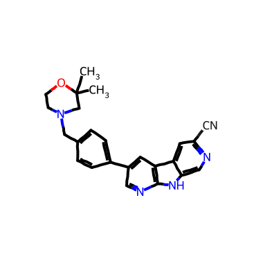 CC1(C)CN(Cc2ccc(-c3cnc4[nH]c5cnc(C#N)cc5c4c3)cc2)CCO1